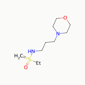 C=S(=O)(CC)NCCCN1CCOCC1